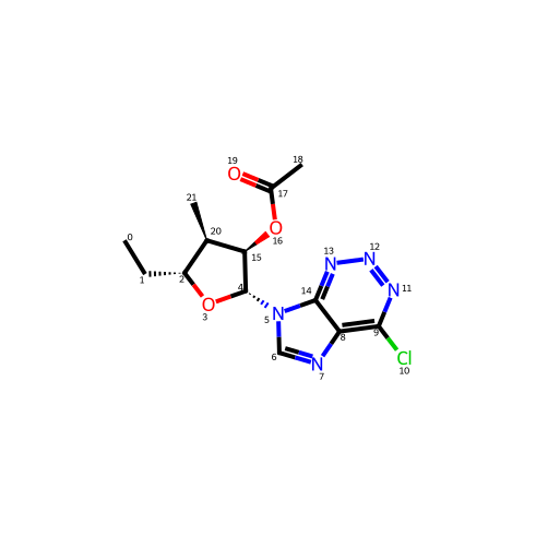 CC[C@H]1O[C@@H](n2cnc3c(Cl)nnnc32)[C@H](OC(C)=O)[C@@H]1C